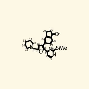 CSc1nccc(-c2oc(CN3CCCCC3)cc2-c2ccc3c(c2)CCC3=O)n1